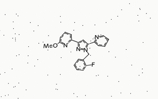 COc1cccc(-c2cc(-c3ccccn3)n(Cc3ccccc3F)n2)n1